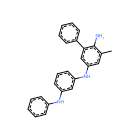 Cc1cc(Nc2cccc(Nc3ccccc3)c2)cc(-c2ccccc2)c1N